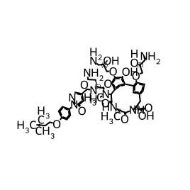 C[C@@H]1NC(=O)C(N(C)C(=O)[C@H](CCN)NC(=O)c2cnn(-c3ccc(OCCC(C)(C)C)cc3)c(=O)c2)c2cc(OC[C@H](O)CN)c(O)c(c2)-c2cc(ccc2OC[C@H](O)CN)C[C@@H](C(=O)O)NC1=O